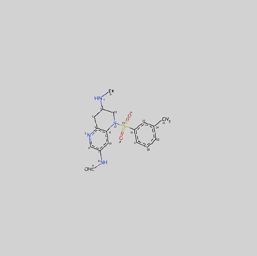 CCNC1Cc2ncc(NC=O)cc2N(S(=O)(=O)c2cccc(C)c2)C1